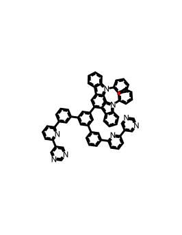 c1ccc(-n2c3ccccc3c3cc(-c4cc(-c5cccc(-c6cccc(-c7cncnc7)n6)c5)cc(-c5cccc(-c6cccc(-c7cncnc7)n6)c5)c4)c4c5ccccc5n(-c5ccccc5)c4c32)cc1